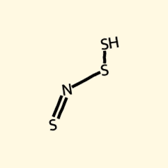 S=NSS